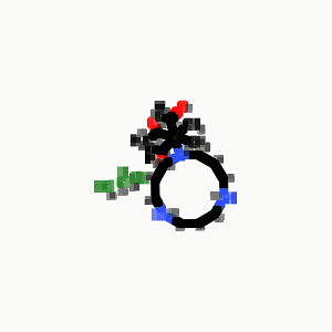 C[C](=O)[Ti]([CH3])([CH3])([C](C)=O)([C](C)=O)[N]1CCCNCCCNCCC1.Cl.Cl.Cl